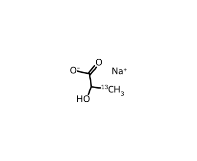 [13CH3]C(O)C(=O)[O-].[Na+]